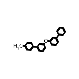 Cc1ccc(-c2cccc(Oc3cccc(-c4ccccc4)c3)c2)cc1